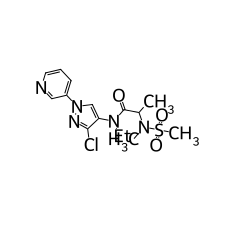 CCN(C(=O)C(C)N(C)S(C)(=O)=O)c1cn(-c2cccnc2)nc1Cl